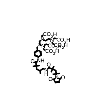 CC(CNC(=O)C(C)(C)CC(C)(C)N1C(=O)C=CC1=O)CC(C)(C)C(=O)Nc1ccc(C[C@H](CN(CCN(CC(=O)O)CC(=O)O)CC(=O)O)N(CC(=O)O)CC(=O)O)cc1